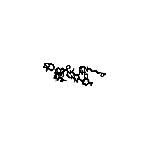 COCCCCCn1ccn(-c2c(-c3ccc(F)cc3)nn3c2[C@H](C)N(C(=O)c2cc4cc([C@H]5CCOC(C)(C)C5)ccc4n2C[C@@]2(c4noc(=O)[nH]4)C[C@@H]2C)CC3)c1=O